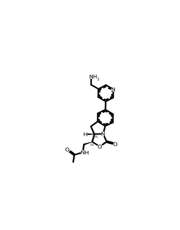 CC(=O)NC[C@@H]1OC(=O)N2c3ccc(-c4cncc(CN)c4)cc3C[C@@H]12